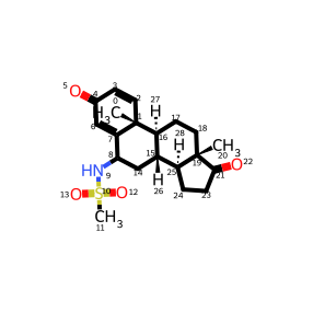 C[C@]12C=CC(=O)C=C1C(NS(C)(=O)=O)C[C@@H]1[C@@H]2CC[C@]2(C)C(=O)CC[C@@H]12